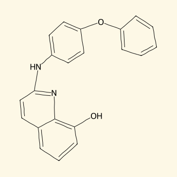 Oc1cccc2ccc(Nc3ccc(Oc4ccccc4)cc3)nc12